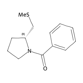 CSC[C@H]1CCCN1C(=O)c1ccccc1